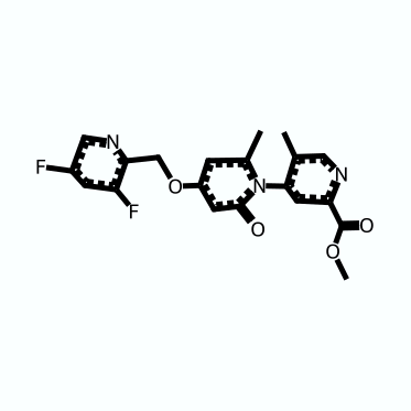 COC(=O)c1cc(-n2c(C)cc(OCc3ncc(F)cc3F)cc2=O)c(C)cn1